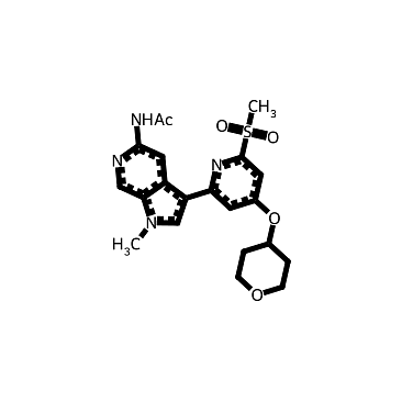 CC(=O)Nc1cc2c(-c3cc(OC4CCOCC4)cc(S(C)(=O)=O)n3)cn(C)c2cn1